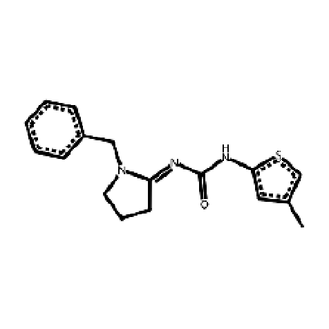 Cc1csc(NC(=O)N=C2CCCN2Cc2ccccc2)c1